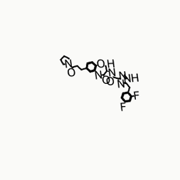 CN1C(=O)[C@H](NC(=O)c2n[nH]c(Cc3ccc(F)cc3F)n2)COc2ccc(CCC(=O)N3CCCC3)cc21